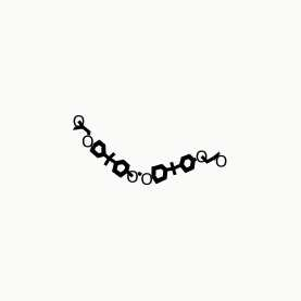 CC(C)(c1ccc(OCOc2ccc(C(C)(C)c3ccc(OCC4CO4)cc3)cc2)cc1)c1ccc(OCC2CO2)cc1